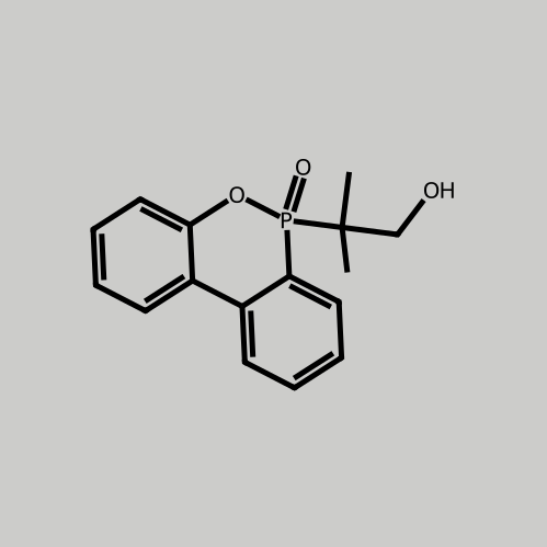 CC(C)(CO)P1(=O)Oc2ccccc2-c2ccccc21